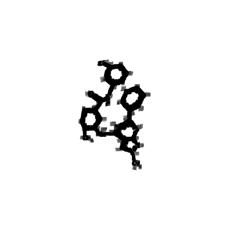 Cc1ccc(C(=O)Nc2cccc(Cl)c2)cc1Nc1nc(-c2cccnc2)nc2nn(C)cc12